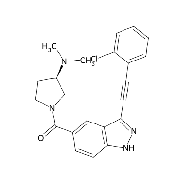 CN(C)[C@@H]1CCN(C(=O)c2ccc3[nH]nc(C#Cc4ccccc4Cl)c3c2)C1